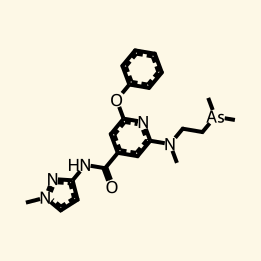 CN(CC[As](C)C)c1cc(C(=O)Nc2ccn(C)n2)cc(Oc2ccccc2)n1